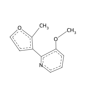 COc1cccnc1-c1ccoc1C